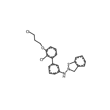 ClCCCOc1cccc(-c2cccc(NN3Cc4ccccc4S3)c2)c1Cl